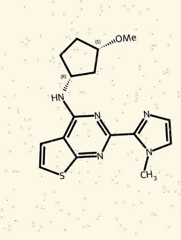 CO[C@H]1CC[C@@H](Nc2nc(-c3nccn3C)nc3sccc23)C1